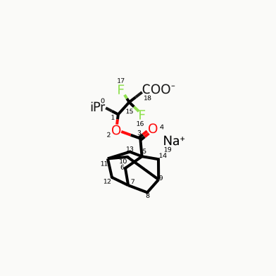 CC(C)C(OC(=O)C12CC3CC(CC(C3)C1)C2)C(F)(F)C(=O)[O-].[Na+]